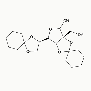 OC[C@@]12OC3(CCCCC3)OC1C([C@H]1COC3(CCCCC3)O1)OC2O